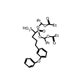 CCC(=O)OC(OP(=O)(OC(OC(=O)CC)C(C)C)C(CCCc1cccc(Oc2ccccc2)c1)S(=O)(=O)O)C(C)C